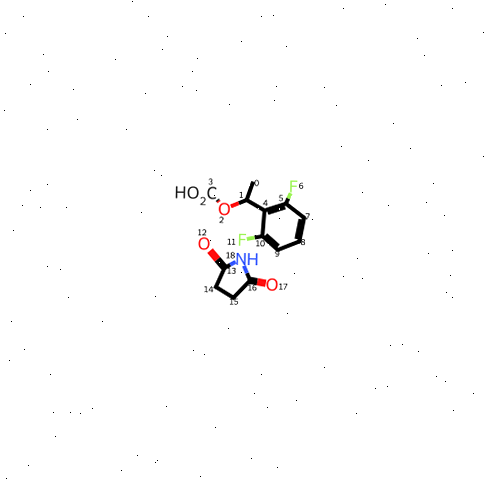 CC(OC(=O)O)c1c(F)cccc1F.O=C1CCC(=O)N1